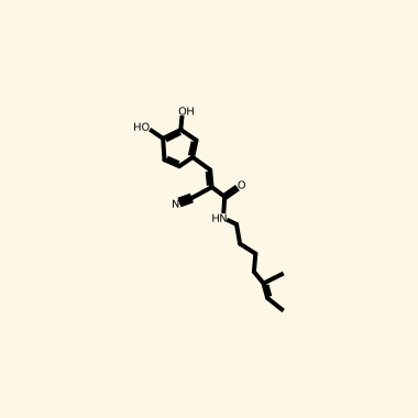 C/C=C(\C)CCCCNC(=O)/C(C#N)=C/c1ccc(O)c(O)c1